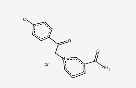 NC(=O)c1ccc[n+](CC(=O)c2ccc(Cl)cc2)c1.[Cl-]